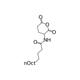 CCCCCCCCCCCC(=O)NC1CCC(=O)OC1=O